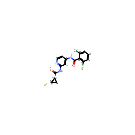 O=C(Nc1ccnc(NC(=O)[C@H]2C[C@@H]2F)c1)c1c(Cl)cccc1Cl